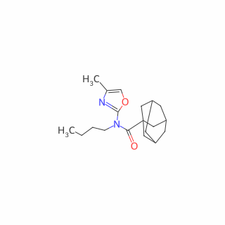 CCCCN(C(=O)C12CC3CC(CC(C3)C1)C2)c1nc(C)co1